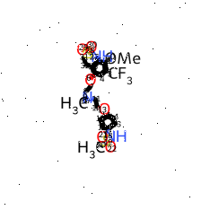 COc1c(C(F)(F)F)cc(OCCN(C)CCOc2ccc(NS(C)(=O)=O)cc2)c2c1NS(=O)(=O)CC2